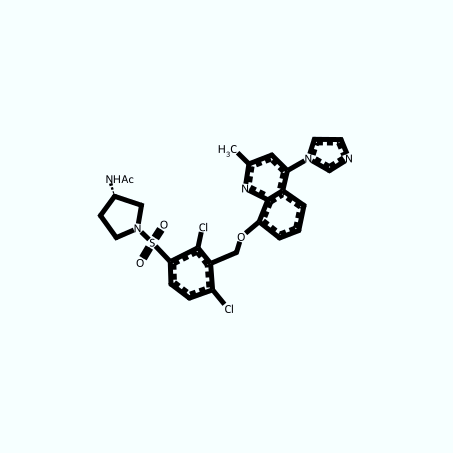 CC(=O)N[C@H]1CCN(S(=O)(=O)c2ccc(Cl)c(COc3cccc4c(-n5ccnc5)cc(C)nc34)c2Cl)C1